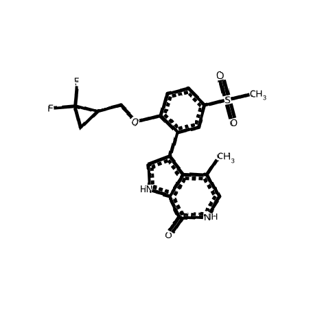 Cc1c[nH]c(=O)c2[nH]cc(-c3cc(S(C)(=O)=O)ccc3OCC3CC3(F)F)c12